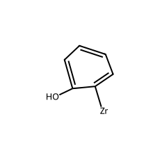 Oc1cccc[c]1[Zr]